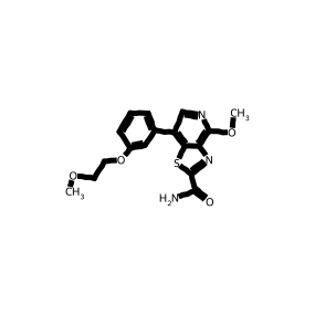 COCCOc1cccc(-c2cnc(OC)c3nc(C(N)=O)sc23)c1